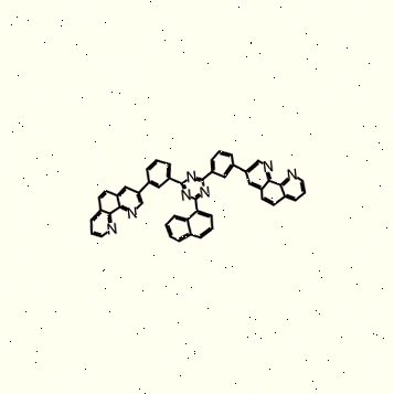 c1cc(-c2cnc3c(ccc4cccnc43)c2)cc(-c2nc(-c3cccc(-c4cnc5c(ccc6cccnc65)c4)c3)nc(-c3cccc4ccccc34)n2)c1